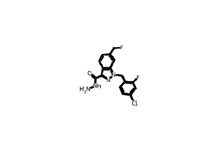 NNC(=O)c1nn(Cc2ccc(Cl)cc2F)c2cc(CF)ccc12